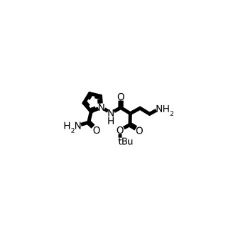 CC(C)(C)OC(=O)C(CCN)C(=O)Nn1cccc1C(N)=O